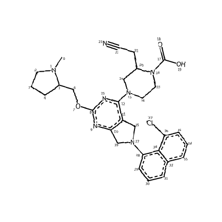 CN1CCCC1COc1nc2c(c(N3CCN(C(=O)O)C(CC#N)C3)n1)CN(c1cccc3cccc(Cl)c13)C2